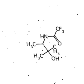 CC(NC(=O)C(F)(F)F)C(C)(C)O